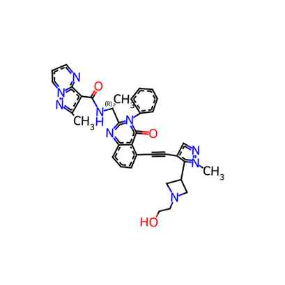 Cc1nn2cccnc2c1C(=O)N[C@H](C)c1nc2cccc(C#Cc3cnn(C)c3C3CN(CCO)C3)c2c(=O)n1-c1ccccc1